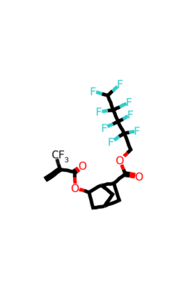 C=C(C(=O)OC1CC2CC(C(=O)OCC(F)(F)C(F)(F)C(F)(F)C(F)F)C1C2)C(F)(F)F